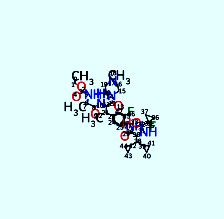 CCOC(=O)N[C@@H](C)C(=O)N[C@@H](C(=O)N1CCN(C)CC1)[C@@H](C)c1ccc(NC(=O)[C@@H](NC(O)C2(F)CC2)C(C2CC2)C2CC2)c(F)c1